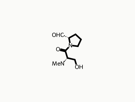 CN[C@@H](CO)C(=O)N1CCC[C@H]1C=O